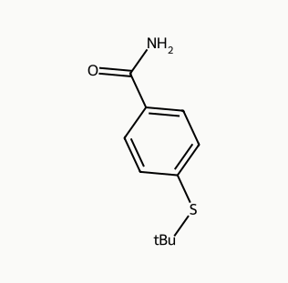 CC(C)(C)Sc1ccc(C(N)=O)cc1